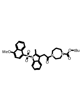 COc1ccc(S(=O)(=O)n2c(C)c(CC(=O)N3CCCN(C(=O)OC(C)(C)C)CC3)c3ccccc32)c2ccccc12